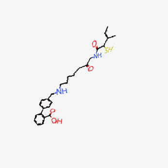 CCC(C)C(S)C(=O)NCC(=O)CCCCCNCc1ccc(-c2ccccc2C(=O)O)cc1